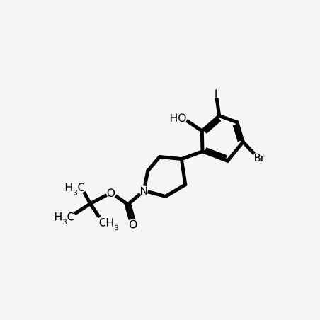 CC(C)(C)OC(=O)N1CCC(c2cc(Br)cc(I)c2O)CC1